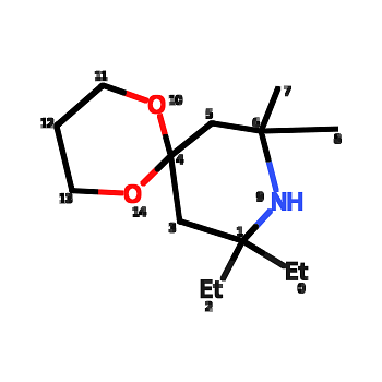 CCC1(CC)CC2(CC(C)(C)N1)OCCCO2